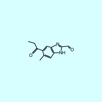 CCC(=O)c1cc2nc(C=O)[nH]c2cc1C